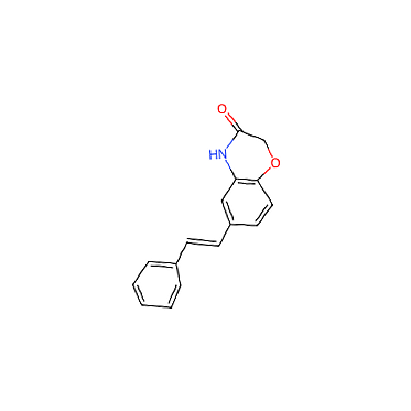 O=C1COc2ccc(C=Cc3ccccc3)cc2N1